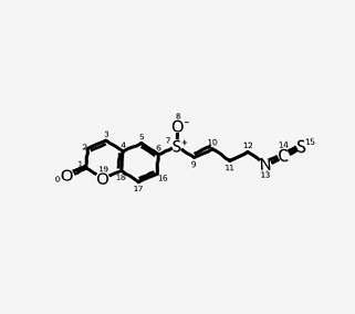 O=c1ccc2cc([S+]([O-])C=CCCN=C=S)ccc2o1